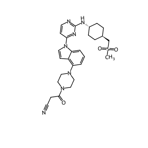 CS(=O)(=O)C[C@H]1CC[C@H](Nc2nccc(-n3ccc4c(N5CCN(C(=O)CC#N)CC5)cccc43)n2)CC1